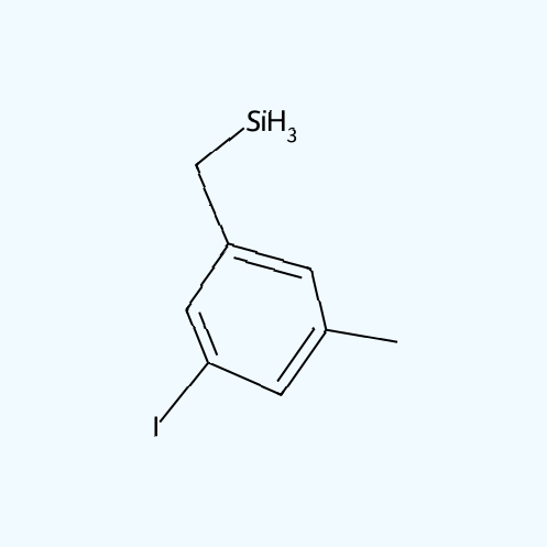 Cc1cc(I)cc(C[SiH3])c1